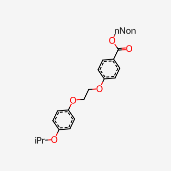 CCCCCCCCCOC(=O)c1ccc(OCCOc2ccc(OC(C)C)cc2)cc1